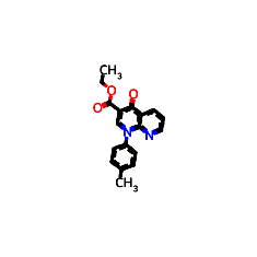 CCOC(=O)c1cn(-c2ccc(C)cc2)c2ncccc2c1=O